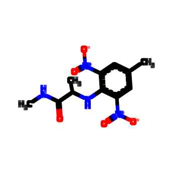 CNC(=O)C(C)Nc1c([N+](=O)[O-])cc(C)cc1[N+](=O)[O-]